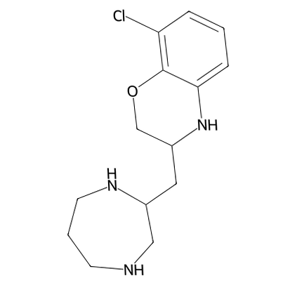 Clc1cccc2c1OCC(CC1CNCCCN1)N2